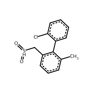 Cc1[c]ccc(C[SH](=O)=O)c1-c1ccccc1Cl